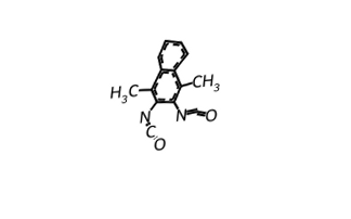 Cc1c(N=C=O)c(N=C=O)c(C)c2ccccc12